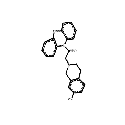 O=C(CN1CCc2ccc(O)cc2C1)N1c2ccccc2Oc2ccccc21